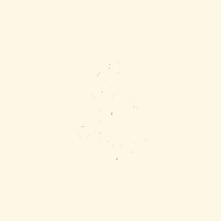 CC(C)[C@H](NC(=O)CC(C)(C)COCC(C)(C)CNC(=O)CCC(=O)N1Cc2ccccc2C#Cc2ccccc21)C(=O)N[C@@H](CCCNC(N)=O)C(=O)Nc1ccc(CO)cc1